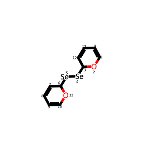 C1=COC([Se][Se]C2C=CC=CO2)C=C1